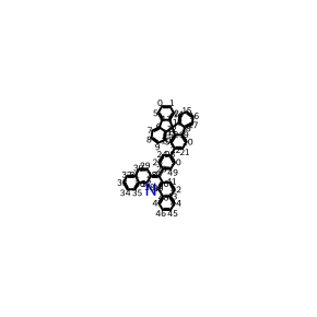 c1ccc2c(c1)-c1ccccc1C21c2ccccc2-c2ccc(-c3ccc(-c4c5ccc6ccccc6c5nc5c4ccc4ccccc45)cc3)cc21